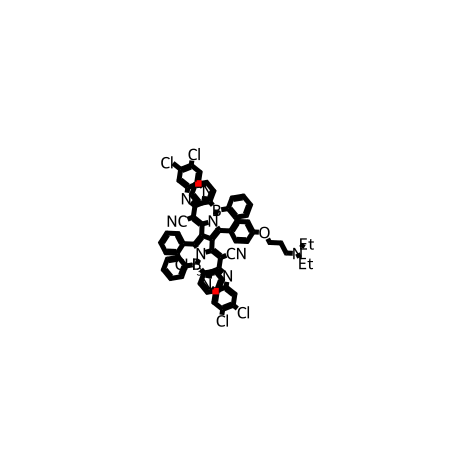 CCN(CC)CCCOc1ccc(-c2c3/c(=C(\C#N)c4cnc5cc(Cl)c(Cl)cc5n4)n(B(c4ccccc4)c4ccccc4)c(-c4ccccc4C)c3/c(=C(\C#N)c3cnc4cc(Cl)c(Cl)cc4n3)n2B(c2ccccc2)c2ccccc2)cc1